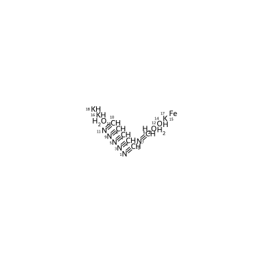 C#N.C#N.C#N.C#N.C#N.C#N.O.O.O.[Fe].[KH].[KH].[KH]